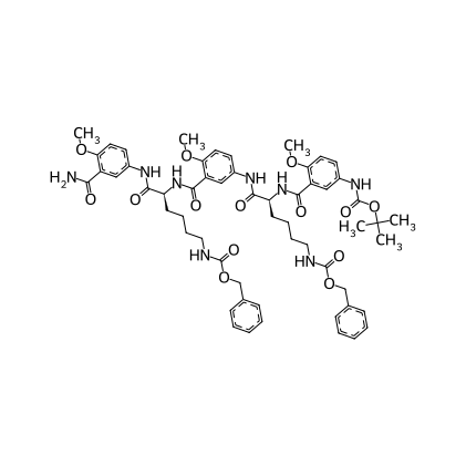 COc1ccc(NC(=O)[C@H](CCCCNC(=O)OCc2ccccc2)NC(=O)c2cc(NC(=O)[C@H](CCCCNC(=O)OCc3ccccc3)NC(=O)c3cc(NC(=O)OC(C)(C)C)ccc3OC)ccc2OC)cc1C(N)=O